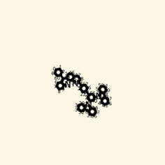 c1ccc(-c2c3ccccc3nc3c2ccc2ccc(-c4ccc(-c5cc(-n6c7ccccc7c7ccccc76)cc(-n6c7ccccc7c7ccccc76)c5)cc4)nc23)cc1